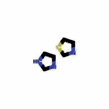 c1c[nH]cn1.c1cscn1